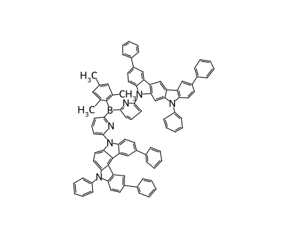 Cc1cc(C)c(B(c2cccc(-n3c4ccc(-c5ccccc5)cc4c4cc5c6cc(-c7ccccc7)ccc6n(-c6ccccc6)c5cc43)n2)c2cccc(-n3c4ccc(-c5ccccc5)cc4c4c5c6cc(-c7ccccc7)ccc6n(-c6ccccc6)c5ccc43)n2)c(C)c1